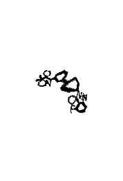 CC1(C)ON=C(C2=CC(C3C=CC(NC(=O)c4c(F)cccc4F)=CC3)CC=C2)C1=O